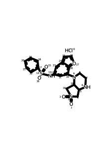 Cl.O=S1(=O)CC2NCCN(c3cc(NS(=O)(=O)c4ccccc4)cc4ccoc34)C2C1